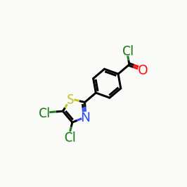 O=C(Cl)c1ccc(-c2nc(Cl)c(Cl)s2)cc1